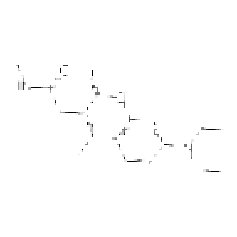 CCN(CC)c1ccc2c(C)c(CC(=O)NC)c(=O)oc2c1